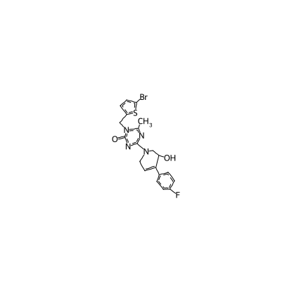 Cc1nc(N2CC=C(c3ccc(F)cc3)C(O)C2)nc(=O)n1Cc1ccc(Br)s1